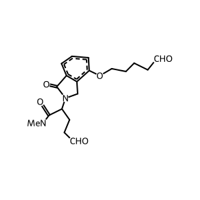 CNC(=O)C(CCC=O)N1Cc2c(OCCCCC=O)cccc2C1=O